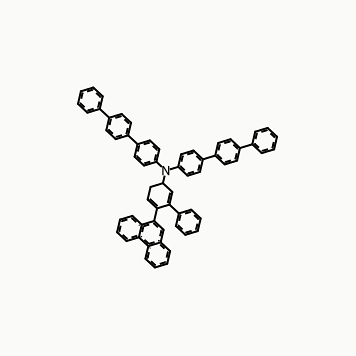 C1=C(c2ccccc2)C(c2cc3ccccc3c3ccccc23)=CCC1N(c1ccc(-c2ccc(-c3ccccc3)cc2)cc1)c1ccc(-c2ccc(-c3ccccc3)cc2)cc1